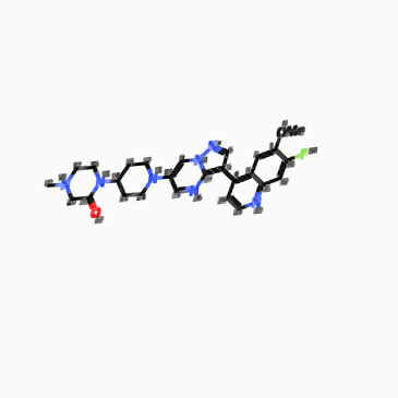 COc1cc2c(-c3cnn4cc(N5CCC(N6CCN(C)CC6=O)CC5)cnc34)ccnc2cc1F